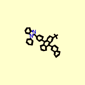 CC(C)(C)c1ccc2c(-c3ccc(-c4nc5ccccc5n4-c4ccccc4)cc3)c3ccccc3c(-c3ccc4ccccc4c3)c2c1